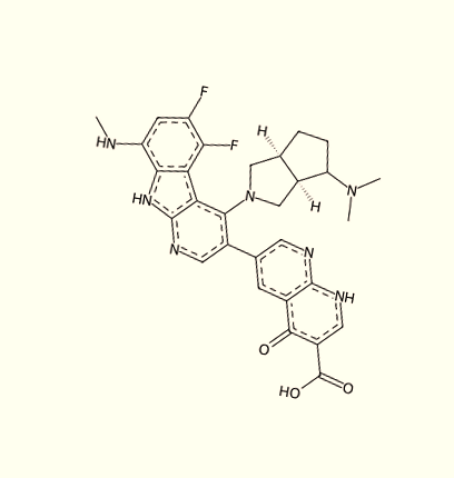 CNc1cc(F)c(F)c2c1[nH]c1ncc(-c3cnc4[nH]cc(C(=O)O)c(=O)c4c3)c(N3C[C@H]4CCC(N(C)C)[C@H]4C3)c12